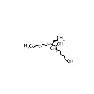 CC=CC(C)(OCCOCCC)C(O)CCCCCO